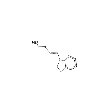 OC=CC=CC1CCc2ccccc21